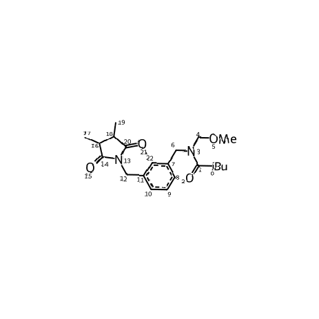 CCC(C)C(=O)N(COC)Cc1cccc(CN2C(=O)C(C)C(C)C2=O)c1